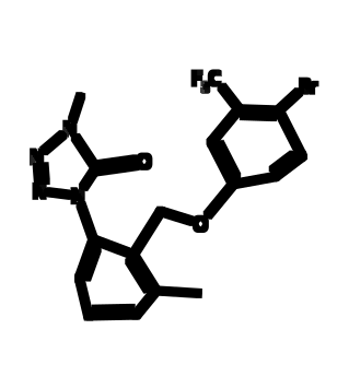 Cc1cccc(-n2nnn(C)c2=O)c1COc1ccc(Br)c(C(F)(F)F)c1